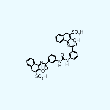 O=C(Nc1cccc(C(=O)N=C2C(O)=C(S(=O)(=O)O)Cc3ccccc32)c1)Nc1cccc(C(=O)N=C2C(O)=C(S(=O)(=O)O)Cc3ccccc32)c1